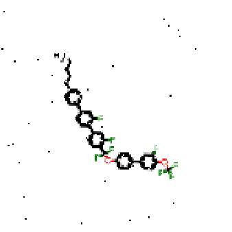 CCCCCc1ccc(-c2ccc(-c3ccc(C(F)(F)Oc4ccc(-c5ccc(OC(F)(F)F)c(F)c5)cc4)c(F)c3)c(F)c2)cc1